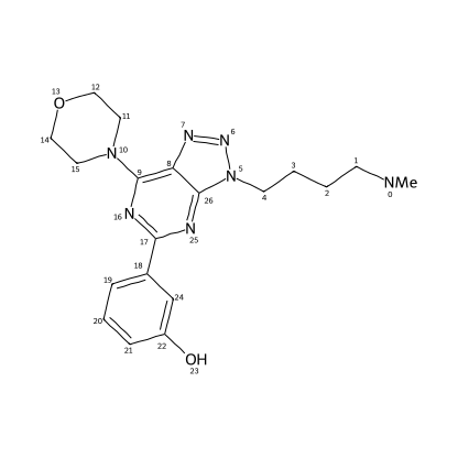 CNCCCCn1nnc2c(N3CCOCC3)nc(-c3cccc(O)c3)nc21